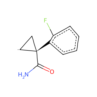 NC(=O)[C@]1(c2ccccc2F)[CH]C1